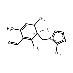 CC1=CC(C)[C@@](C)(Cn2ccnc2C)C(C)=C1C=O